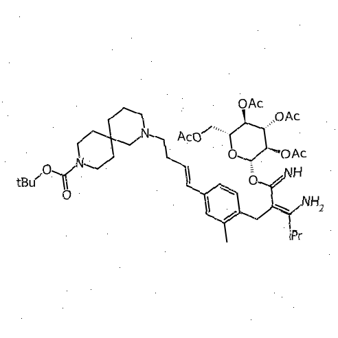 CC(=O)OC[C@H]1O[C@@H](OC(=N)/C(Cc2ccc(/C=C/CCN3CCCC4(CCN(C(=O)OC(C)(C)C)CC4)C3)cc2C)=C(\N)C(C)C)[C@H](OC(C)=O)[C@@H](OC(C)=O)[C@@H]1OC(C)=O